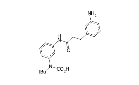 CC(C)(C)N(C(=O)O)c1cccc(NC(=O)CCc2cccc(N)c2)c1